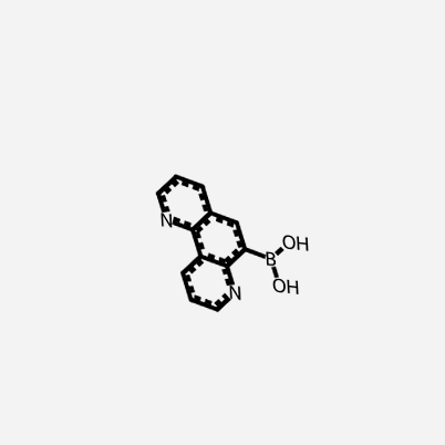 OB(O)c1cc2cccnc2c2cccnc12